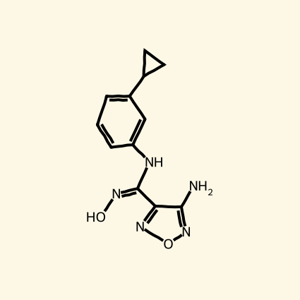 Nc1nonc1/C(=N\O)Nc1cccc(C2CC2)c1